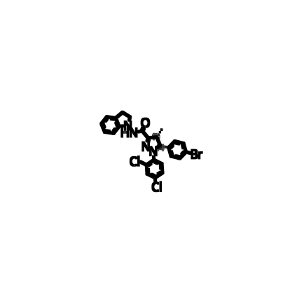 C[C@H]1C(C(=O)NN2CCc3ccccc32)=NN(c2ccc(Cl)cc2Cl)[C@H]1c1ccc(Br)cc1